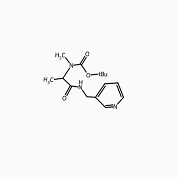 CC(C(=O)NCc1cccnc1)N(C)C(=O)OC(C)(C)C